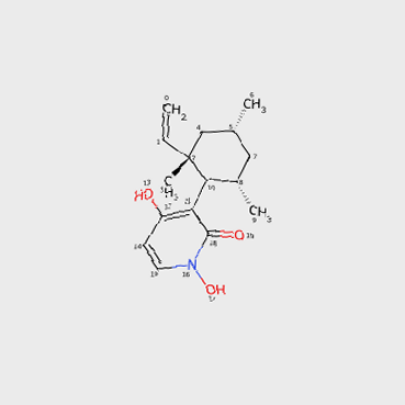 C=C[C@]1(C)C[C@H](C)C[C@H](C)C1c1c(O)ccn(O)c1=O